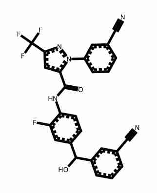 N#Cc1cccc(C(O)c2ccc(NC(=O)c3cc(C(F)(F)F)nn3-c3cccc(C#N)c3)c(F)c2)c1